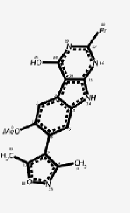 COc1cc2c(cc1-c1c(C)noc1C)[nH]c1nc(C(C)C)nc(O)c12